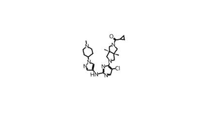 CN1CCC(n2cc(Nc3ncc(Cl)c(N4C[C@]5(C)CN(C(=O)C6CC6)C[C@]5(C)C4)n3)cn2)CC1